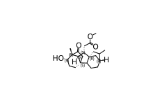 COC(=O)C[C@H]1[C@H]2[C@]3(CC[C@H](O)[C@]2(C)C(=O)C3)C2CC[C@@H]3C[C@@]21CC3C